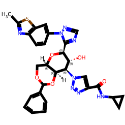 Cc1nc2ccc(-n3ncnc3[C@@H]3O[C@@H]4COC(c5ccccc5)O[C@@H]4[C@H](n4cc(C(=O)NC5CC5)nn4)[C@H]3O)cc2s1